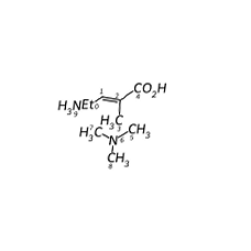 CCC=C(C)C(=O)O.CN(C)C.N